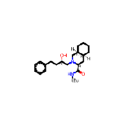 CC(C)(C)NC(=O)[C@@H]1C[C@@H]2CCCC[C@@H]2CN1C[C@@H](O)CCc1ccccc1